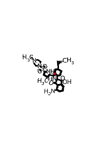 Cc1cc(S(=O)(=O)N2CCN(C)CC2)[nH]c1C(=O)NC12C(=O)c3c(N)cccc3[C@@]1(O)Oc1cc(C3C[C@@H]3C)ccc12